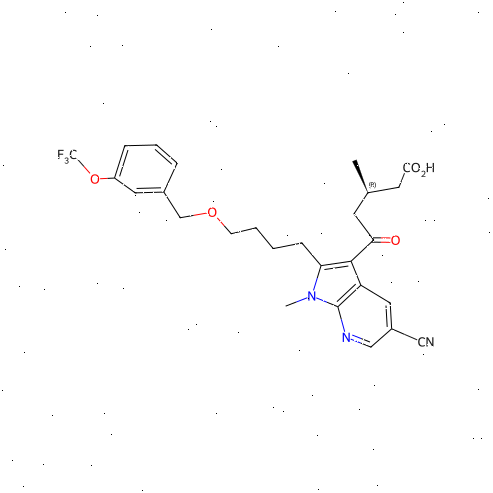 C[C@@H](CC(=O)O)CC(=O)c1c(CCCCOCc2cccc(OC(F)(F)F)c2)n(C)c2ncc(C#N)cc12